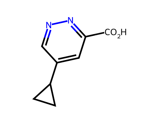 O=C(O)c1cc(C2CC2)cnn1